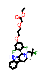 CCOC(=O)COCCCOc1cc(F)c([C@@H]2c3[nH]c4ccccc4c3C[C@@H](C)N2CC(C)(C)F)c(F)c1